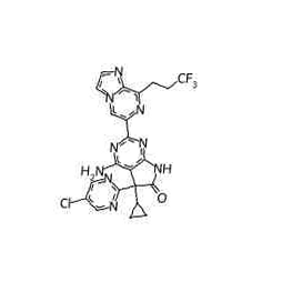 Nc1nc(-c2cn3ccnc3c(CCC(F)(F)F)n2)nc2c1C(c1ncc(Cl)cn1)(C1CC1)C(=O)N2